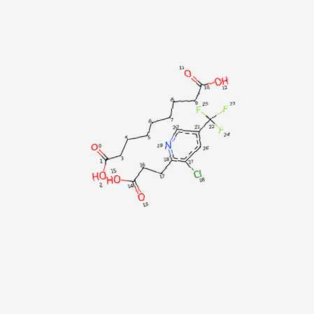 O=C(O)CCCCCCCC(=O)O.O=C(O)CCc1ncc(C(F)(F)F)cc1Cl